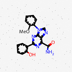 COc1ccccc1-n1cnc2c(C(N)=O)nc(-c3ccccc3O)nc21